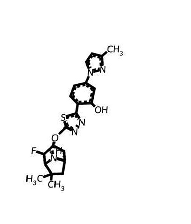 Cc1ccn(-c2ccc(-c3nnc(OC4CC5CC(C)(C)C(C4F)N5C)s3)c(O)c2)n1